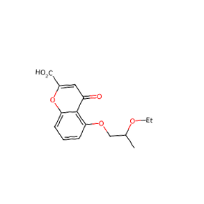 CCOC(C)COc1cccc2oc(C(=O)O)cc(=O)c12